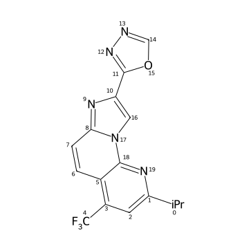 CC(C)c1cc(C(F)(F)F)c2ccc3nc(-c4nnco4)cn3c2n1